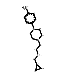 Nc1ccc(N2CCN(CCOCC3CC3)CC2)cc1